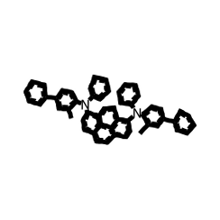 Cc1cc(-c2ccccc2)ccc1N(c1ccccc1)c1ccc2ccc3ccc(N(c4ccccc4)c4ccc(-c5ccccc5)cc4C)c4ccc1c2c34